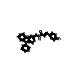 O=C(/C=C/c1ccc(F)cc1)NCc1cc2c3ccccc3n(-c3ccccc3)c2cn1